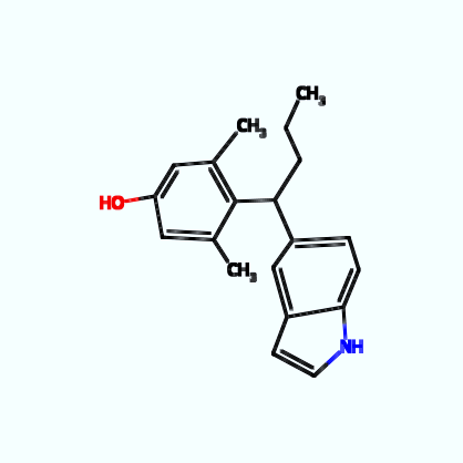 CCCC(c1ccc2[nH]ccc2c1)c1c(C)cc(O)cc1C